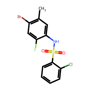 Cc1cc(NS(=O)(=O)c2ccccc2Cl)c(F)cc1Br